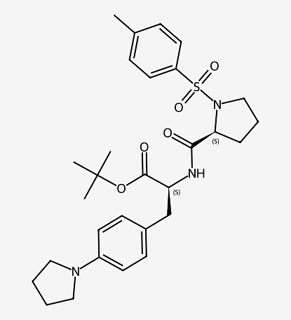 Cc1ccc(S(=O)(=O)N2CCC[C@H]2C(=O)N[C@@H](Cc2ccc(N3CCCC3)cc2)C(=O)OC(C)(C)C)cc1